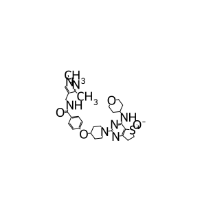 Cc1nn(C)cc1CNC(=O)c1ccc(OC2CCN(c3nc4c(c(NC5CCOCC5)n3)[S+]([O-])CC4)CC2)cc1